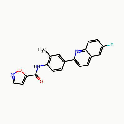 Cc1cc(-c2ccc3cc(F)ccc3n2)ccc1NC(=O)c1ccno1